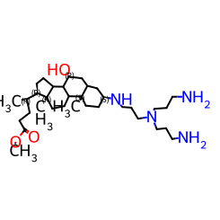 COC(=O)CC[C@@H](C)[C@H]1CCC2C3C(CC[C@@]21C)[C@@]1(C)CC[C@H](NCCCN(CCCN)CCCN)CC1C[C@H]3O